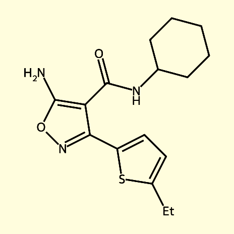 CCc1ccc(-c2noc(N)c2C(=O)NC2CCCCC2)s1